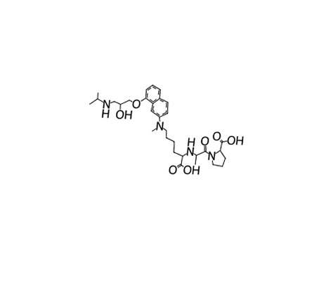 CC(C)NCC(O)COc1cccc2ccc(N(C)CCCCC(NC(C)C(=O)N3CCCC3C(=O)O)C(=O)O)cc12